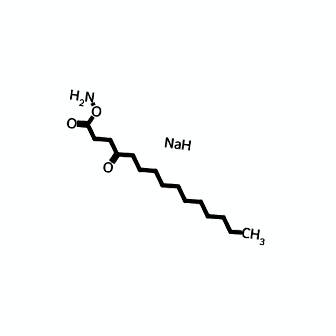 CCCCCCCCCCCC(=O)CCC(=O)ON.[NaH]